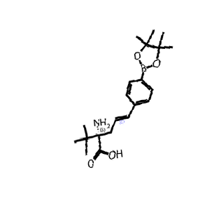 CC1(C)OB(c2ccc(/C=C/C[C@@](N)(C(=O)O)C(C)(C)C)cc2)OC1(C)C